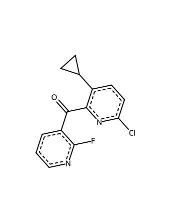 O=C(c1cccnc1F)c1nc(Cl)ccc1C1CC1